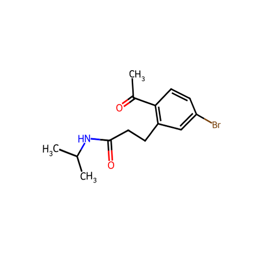 CC(=O)c1ccc(Br)cc1CCC(=O)NC(C)C